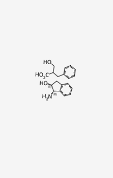 N[C@@H]1c2ccccc2C[C@@H]1O.O=C(O)C(CO)Cc1ccccc1